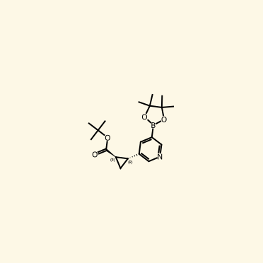 CC(C)(C)OC(=O)[C@@H]1C[C@H]1c1cncc(B2OC(C)(C)C(C)(C)O2)c1